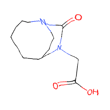 O=C(O)CN1C(=O)N2CCCC1C2